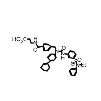 CCN(c1ccccc1)S(=O)(=O)c1cccc(NC(=O)N(Cc2ccc(C(=O)NCCC(=O)O)cc2)c2ccc(C3=CCCCC3)cc2)c1